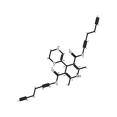 C#CCCC#COC(=O)C1=C(C)NC(C)=C(C(=O)OC#CCCC#C)C1C1=COCCO1